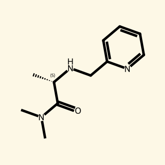 C[C@H](NCc1ccccn1)C(=O)N(C)C